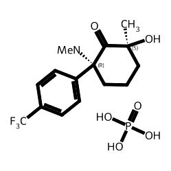 CN[C@@]1(c2ccc(C(F)(F)F)cc2)CCC[C@](C)(O)C1=O.O=P(O)(O)O